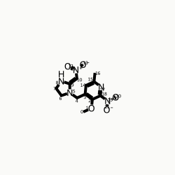 COc1c(CN2CCNC2=C[N+](=O)[O-])cc(C)nc1[N+](=O)[O-]